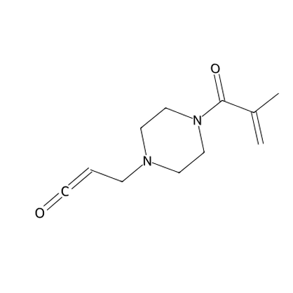 C=C(C)C(=O)N1CCN(CC=C=O)CC1